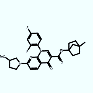 COC1CCN(c2ccc3c(=O)c(C(=O)NC45CCC(C)(CC4)C5)cn(-c4ccc(F)cc4F)c3n2)C1